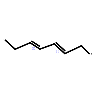 [CH]C/C=C/C=C/C[CH2]